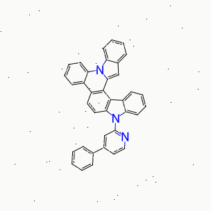 c1ccc(-c2ccnc(-n3c4ccccc4c4c5c(ccc43)c3ccccc3n3c4ccccc4cc53)c2)cc1